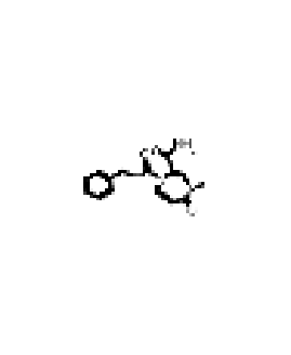 CN1C=C(C(N)=O)N(C(=O)OCc2ccccc2)C=[C]C1=O